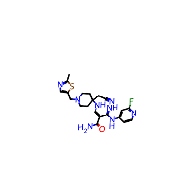 Cc1ncc(CN2CCC(CC#N)(N/C=C(\C(=N)Nc3ccnc(F)c3)C(N)=O)CC2)s1